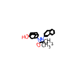 CC1(C)C(=O)N(C2C3CC4CC2CC(O)(C4)C3)N1c1ccc2ccccc2c1